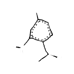 CBc1cc(C)ccc1[C@@H](C)O